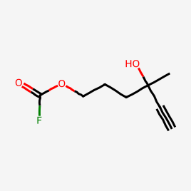 C#CC(C)(O)CCCOC(=O)F